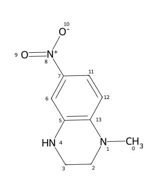 CN1CCNc2cc([N+](=O)[O-])ccc21